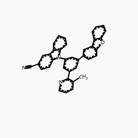 Cc1cccnc1-c1cc(-c2ccc3oc4ccccc4c3c2)cc(-n2c3ccccc3c3cc(C#N)ccc32)c1